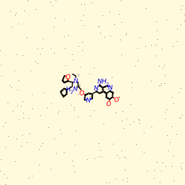 CCN(C[C@@H](N)COc1cncc(-c2cc3c(cnc4cc(OC)c(OC)cc43)c(N)n2)c1)C(Cc1ccccc1)c1ccco1